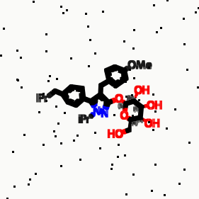 COc1ccc(Cc2c(O[C@@H]3O[C@H](CO)[C@@H](O)[C@H](O)[C@H]3O)nn(C(C)C)c2-c2ccc(CC(C)C)cc2)cc1